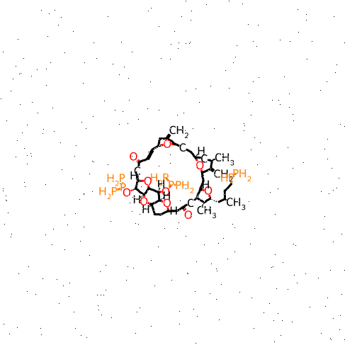 C=C1CC2/C=C/C(=O)C[C@H]3OC4[C@@H](O[C@H]5CC[C@H](CC(=O)CC6[C@H](CC7O[C@@H](CCC1O2)C[C@@H](C)C7=C)O[C@H](C[C@H](C)CCPP)[C@@H]6C)O[C@@H]5[C@@H]4OP(P)P)[C@H]3OP(P)P